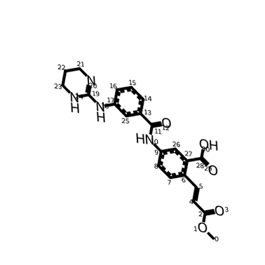 COC(=O)C=Cc1ccc(NC(=O)c2cccc(NC3=NCCCN3)c2)cc1C(=O)O